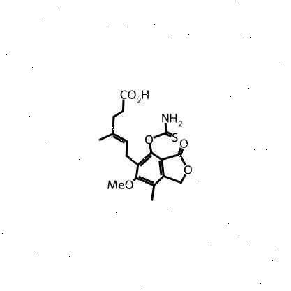 COc1c(C)c2c(c(OC(N)=S)c1C/C=C(\C)CCC(=O)O)C(=O)OC2